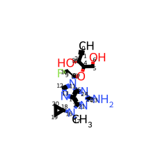 C#C[C@H](O)C(CO)O[C@H](CF)n1cnc2c(N(C)C3CC3)nc(N)nc21